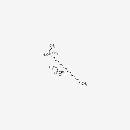 C=CC(N)=O.CCCCCCCCCCCCCCCC[N+](C)(C)CCC.[Cl-]